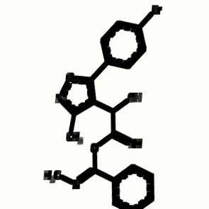 C/N=C(\OC(=N)C(O)c1c(C)noc1-c1ccc(Br)cc1)c1ccccc1